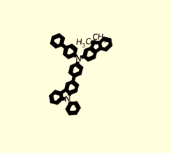 CC1(C)c2cc(N(c3ccc(-c4ccccc4)cc3)c3ccc(-c4ccc5c(c4)c4ccccc4n5-c4ccccc4)cc3)ccc2C2C=CC=CC21